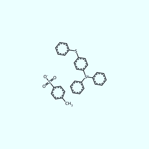 Cc1ccc(S(=O)(=O)[O-])cc1.c1ccc(Sc2ccc([S+](c3ccccc3)c3ccccc3)cc2)cc1